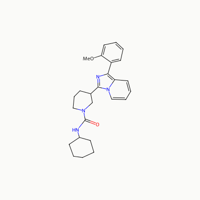 COc1ccccc1-c1nc(C2CCCN(C(=O)NC3CCCCC3)C2)n2ccccc12